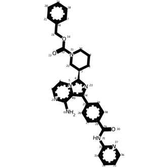 Nc1nccn2c([C@@H]3CCCN(C(=O)OCc4ccccc4)C3)nc(-c3ccc(C(=O)Nc4ccccn4)cc3)c12